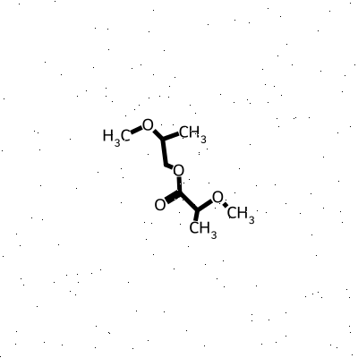 COC(C)COC(=O)C(C)OC